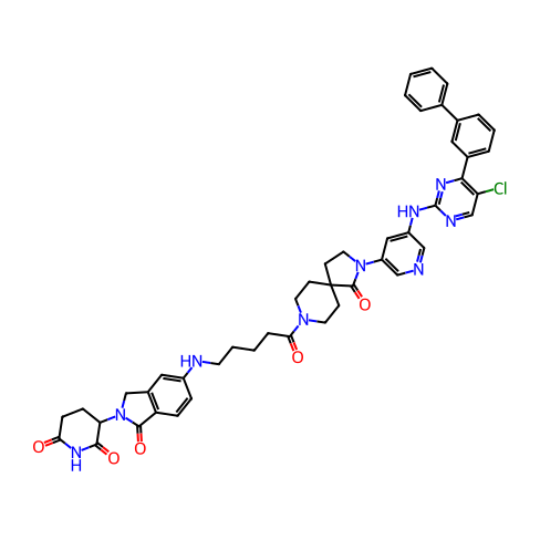 O=C1CCC(N2Cc3cc(NCCCCC(=O)N4CCC5(CC4)CCN(c4cncc(Nc6ncc(Cl)c(-c7cccc(-c8ccccc8)c7)n6)c4)C5=O)ccc3C2=O)C(=O)N1